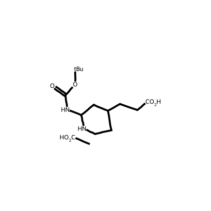 CC(=O)O.CC(C)(C)OC(=O)NC1CC(CCC(=O)O)CCN1